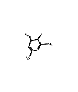 CC1C(N)=CC(C(F)(F)F)=CC1C(F)(F)F